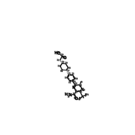 Cc1nc(C(F)F)c(C(N)=O)nc1-c1ccc([C@H]2CC[C@@H](CC(=O)O)CC2)cc1